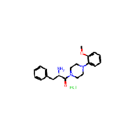 COc1ccccc1N1CCN(C(=O)[C@H](N)Cc2ccccc2)CC1.Cl